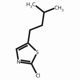 CC(C)CCc1cnc(Cl)s1